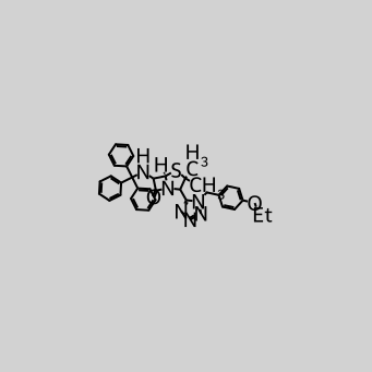 CCOc1ccc(Cn2nnnc2C2N3C(=O)C(NC(c4ccccc4)(c4ccccc4)c4ccccc4)[C@H]3SC2(C)C)cc1